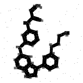 C=CC(=O)Nc1cccc(Oc2cnc3[nH]cc(-c4cccc(OCCC#N)c4)c3n2)c1